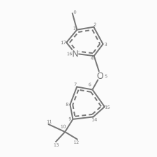 Cc1ccc(Oc2ccc(C(C)(C)C)cc2)nc1